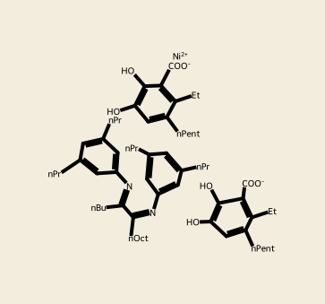 CCCCCCCCC(=Nc1cc(CCC)cc(CCC)c1)C(CCCC)=Nc1cc(CCC)cc(CCC)c1.CCCCCc1cc(O)c(O)c(C(=O)[O-])c1CC.CCCCCc1cc(O)c(O)c(C(=O)[O-])c1CC.[Ni+2]